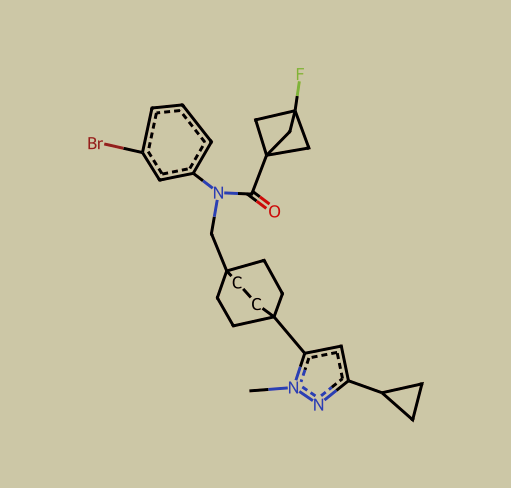 Cn1nc(C2CC2)cc1C12CCC(CN(C(=O)C34CC(F)(C3)C4)c3cccc(Br)c3)(CC1)CC2